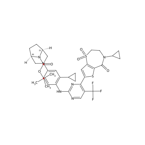 CC(C)(C)OC(=O)N1[C@@H]2CC[C@H]1CN(c1ccc(Nc3ncc(C(F)(F)F)c(-c4cc5c(s4)C(=O)N(C4CC4)CCS5(=O)=O)n3)c(C3CC3)c1)C2